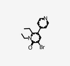 CCc1c(-c2ccncc2)cc(Br)c(=O)n1CC